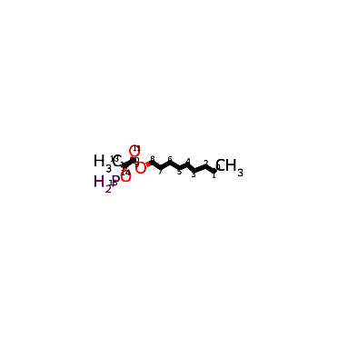 CCCCCCCCCOC(=O)C(C)OP